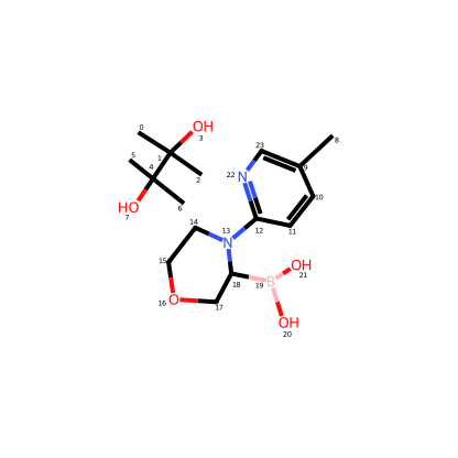 CC(C)(O)C(C)(C)O.Cc1ccc(N2CCOCC2B(O)O)nc1